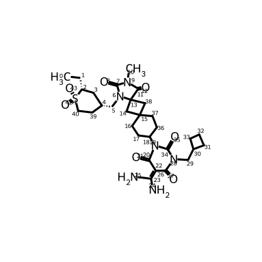 CC[C@@H]1C[C@H](CN2C(=O)N(C)C(=O)C23CC2(CCC(N4C(=O)C(=C(N)N)C(=O)N(CC5CCC5)C4=O)CC2)C3)CCS1(=O)=O